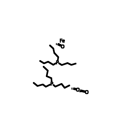 CCCCP(CCCC)CCCC.CCCCP(CCCC)CCCC.[C]=O.[C]=O.[C]=O.[Fe]